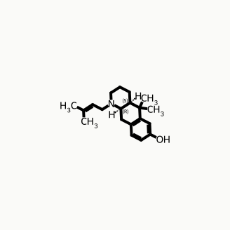 CC(C)=CCN1CCC[C@@H]2[C@H]1Cc1ccc(O)cc1C2(C)C